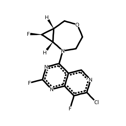 Fc1nc(N2CCOC[C@H]3[C@H](F)[C@H]32)c2cnc(Cl)c(F)c2n1